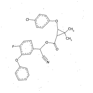 CC1(C)C(Oc2ccc(Cl)cc2)C1C(=O)OC(C#N)c1ccc(F)c(Oc2ccccc2)c1